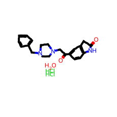 Cl.Cl.O.O=C1Cc2cc(C(=O)CN3CCN(Cc4ccccc4)CC3)ccc2N1